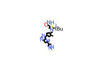 Cc1cc(-c2ncnc3cc(-c4cnn(C)c4)n(C)c23)ccc1CN1C=C(C(N)=O)SC1C(C)(C)C